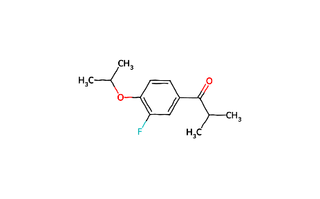 CC(C)Oc1ccc(C(=O)C(C)C)cc1F